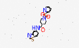 O=C(Nc1ccc2scnc2c1)C1CCN(S(=O)(=O)c2ccccn2)CC1